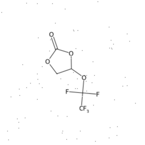 O=C1OCC(OC(F)(F)C(F)(F)F)O1